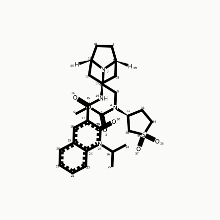 COC(=O)N(CCN1[C@@H]2CC[C@H]1C[C@H](NC(=O)c1cc3ccccc3n(C(C)C)c1=O)C2)[C@H]1CCS(=O)(=O)C1